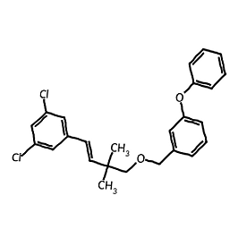 CC(C)(C=Cc1cc(Cl)cc(Cl)c1)COCc1cccc(Oc2ccccc2)c1